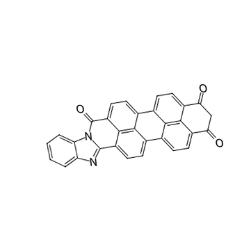 O=C1CC(=O)c2ccc3c4ccc5c6c(ccc(c7ccc1c2c73)c46)c(=O)n1c2ccccc2nc51